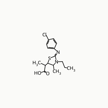 CCCN1C(=Nc2ccc(Cl)cc2)SC(C(C)C(=O)O)C1C